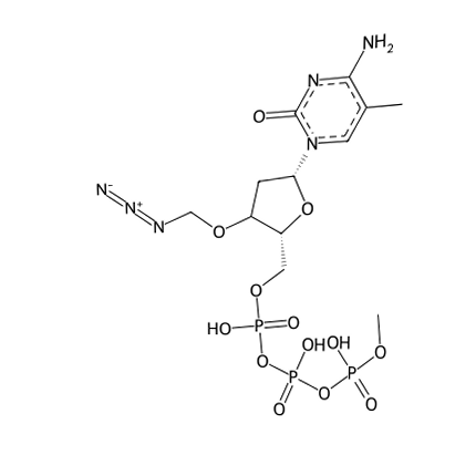 COP(=O)(O)OP(=O)(O)OP(=O)(O)OC[C@H]1O[C@@H](n2cc(C)c(N)nc2=O)CC1OCN=[N+]=[N-]